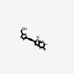 OCC1CC=C(C#Cc2cc3cc(F)cnc3[nH]2)S1